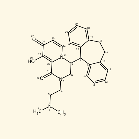 CN(C)CCN1CC(C2c3ccccc3CCc3ccccc32)n2ccc(=O)c(O)c2C1=O